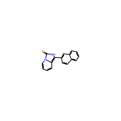 S=c1[nH]c(-c2ccc3ccccc3c2)c2ccccn12